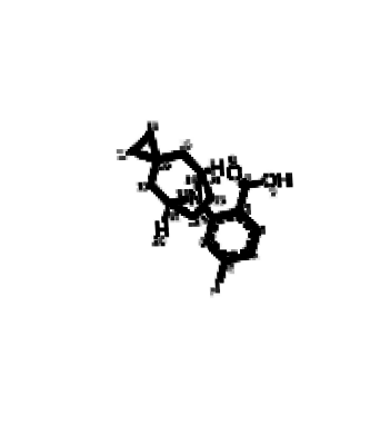 O=C(O)c1ccc(I)cc1N1[C@@H]2CC[C@H]1CC1(CC1)C2